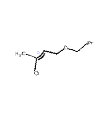 C/C(Cl)=C/COCC(C)C